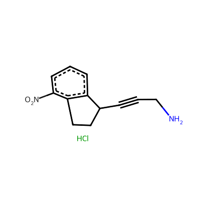 Cl.NCC#CC1CCc2c1cccc2[N+](=O)[O-]